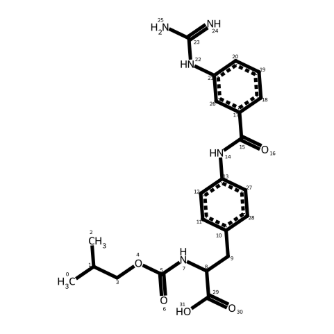 CC(C)COC(=O)NC(Cc1ccc(NC(=O)c2cccc(NC(=N)N)c2)cc1)C(=O)O